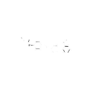 CC(C)(C)CC(=O)N[C@H]1CC[C@H](CCN2CCC(c3cccc4c3CCO4)CC2)CC1